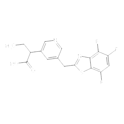 CCC(C(=O)O)c1cncc(Cc2nc3c(F)c(F)cc(F)c3s2)c1